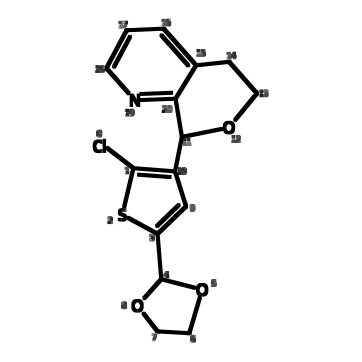 Clc1sc(C2OCCO2)cc1C1OCCc2cccnc21